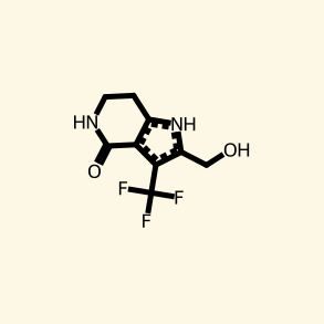 O=C1NCCc2[nH]c(CO)c(C(F)(F)F)c21